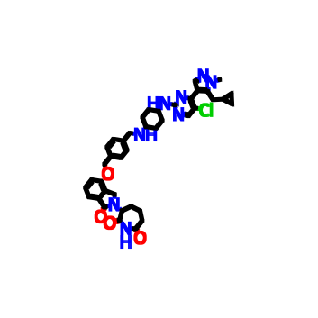 Cn1ncc(-c2nc(N[C@H]3CC[C@H](NCc4ccc(COc5cccc6c5CN([C@H]5CCCC(=O)NC5=O)C6=O)cc4)CC3)ncc2Cl)c1CC1CC1